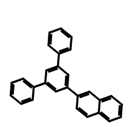 c1ccc(-c2cc(-c3ccccc3)cc(-c3ccc4ccccc4c3)c2)cc1